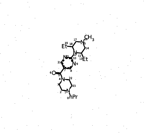 CCCN1CCN(C(=O)c2cnc(N3C(CC)CN(C)CC3CC)nc2)CC1